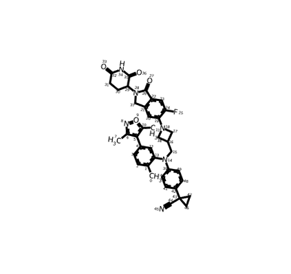 Cc1ccc(-c2c(C)noc2C)cc1N(CC1CN(c2cc3c(cc2F)C(=O)N(C2CCC(=O)NC2=O)C3)C1)c1ccc(C2(C#N)CC2)cc1